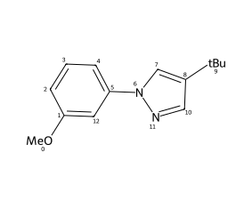 COc1cccc(-n2cc(C(C)(C)C)cn2)c1